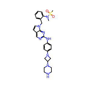 CN(c1ccccc1Cn1ccc2cnc(Nc3ccc(N4CC(N5CCNCC5)C4)cc3)nc21)S(C)(=O)=O